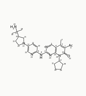 CC(=O)c1c(C)c2cnc(Nc3ccc(N4CCC(C(C)(C)N)C4)cn3)nc2n(C2CCCC2)c1=O